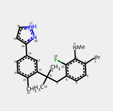 CNc1c(C(C)C)ccc(CC(C)(C)c2cc(-c3cc[nH]n3)ccc2C)c1F